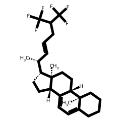 C[C@H](/C=C/CC(C(F)(F)F)C(F)(F)F)[C@H]1CC[C@H]2C3=CC=C4CCCC[C@]4(C)[C@H]3CC[C@]12C